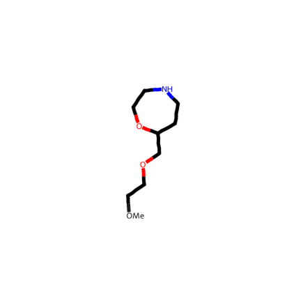 COCCOCC1CCNCCO1